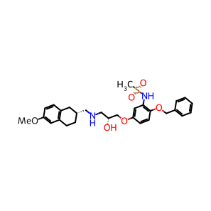 COc1ccc2c(c1)CC[C@@H](CNC[C@@H](O)COc1ccc(OCc3ccccc3)c(NS(C)(=O)=O)c1)C2